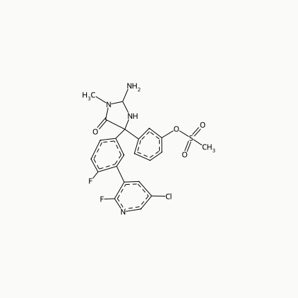 CN1C(=O)C(c2cccc(OS(C)(=O)=O)c2)(c2ccc(F)c(-c3cc(Cl)cnc3F)c2)NC1N